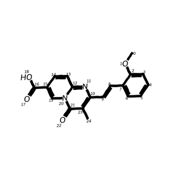 COc1ccccc1C=Cc1nc2ccc(C(=O)O)cn2c(=O)c1C